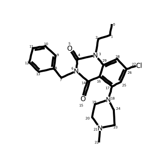 CCCn1c(=O)n(Cc2ccccc2)c(=O)c2c(N3CCN(C)CC3)cc(Cl)cc21